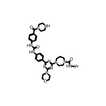 CC(C)NC(=O)N1CCCN(c2nc(-c3ccc(NC(=O)Nc4ccc(C(=O)N5CCNCC5)cc4)cc3)nc(N3CCOCC3)n2)CC1